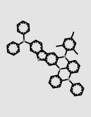 Cc1cc(C)c(N2c3cc4c(cc3B3c5ccccc5N(c5ccccc5)c5cccc2c53)sc2cc(N(c3ccccc3)c3ccccc3)ccc24)c(C)c1